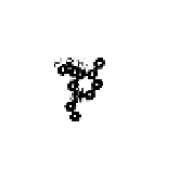 CC1(C)c2ccccc2-c2cc3c(-c4cccc(-c5nc(-c6cccc(-c7ccccc7)c6)nc(-c6cccc(-c7ccccc7)c6)n5)c4)cc(-c4cccc(C5C=CC=CC5)c4)nc3cc21